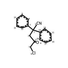 N#CC(CC(=O)CCl)(c1ccccc1)c1ccccc1